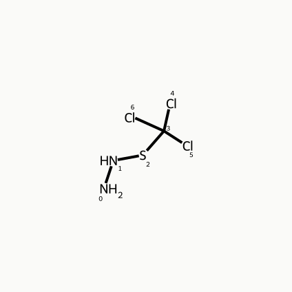 NNSC(Cl)(Cl)Cl